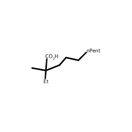 CCCCCCCCC(C)(CC)C(=O)O